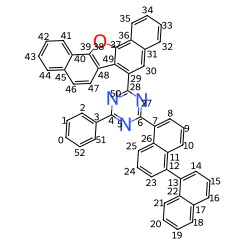 c1ccc(-c2nc(-c3cccc4c(-c5cccc6ccccc56)cccc34)nc(-c3cc4ccccc4c4oc5c6ccccc6ccc5c34)n2)cc1